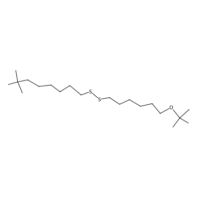 CC(C)(C)CCCCCCSSCCCCCCOC(C)(C)C